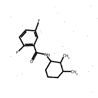 CC1CCCC(NC(=O)c2cc(F)ccc2F)C1C